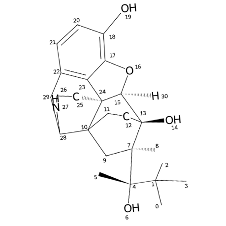 CC(C)(C)[C@](C)(O)[C@@]1(C)CC23CC[C@]1(O)[C@@H]1Oc4c(O)ccc5c4[C@@]12CCNC3C5